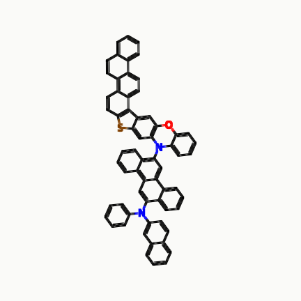 c1ccc(N(c2ccc3ccccc3c2)c2cc3c4ccccc4c(N4c5ccccc5Oc5cc6c(cc54)sc4ccc5c7ccc8ccccc8c7ccc5c46)cc3c3ccccc23)cc1